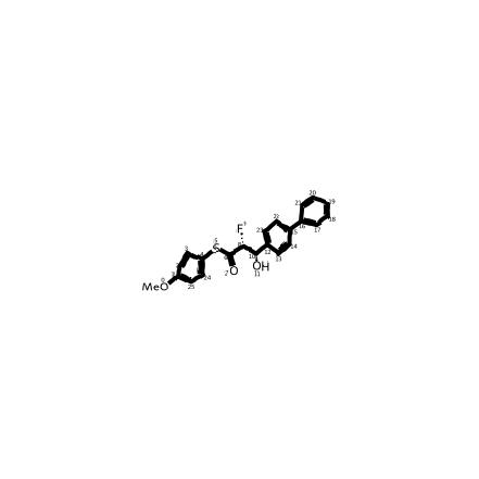 COc1ccc(SC(=O)[C@H](F)[C@@H](O)c2ccc(-c3ccccc3)cc2)cc1